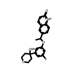 COC1(c2cc(F)cc(OC(C)c3ccc4[nH]c(=O)ccc4c3)c2)CCOCC1